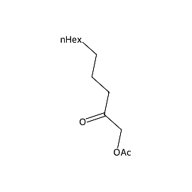 CCCCCCCCCC(=O)COC(C)=O